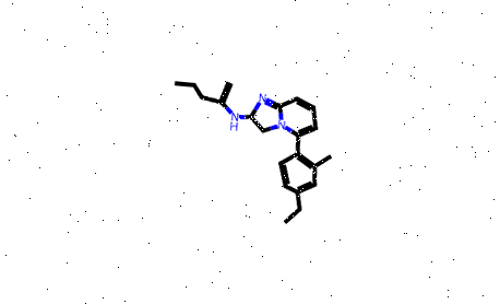 C=C(CCC)NC1CN2C(c3ccc(CC)cc3C)=CC=CC2=N1